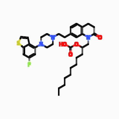 CCCCCCCCCC(CN1C(=O)CCc2ccc(CCN3CCN(c4cc(F)cc5sccc45)CC3)cc21)OC(=O)O